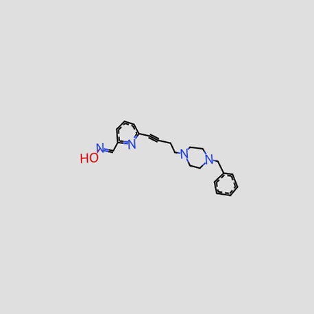 ON=Cc1cccc(C#CCCN2CCN(Cc3ccccc3)CC2)n1